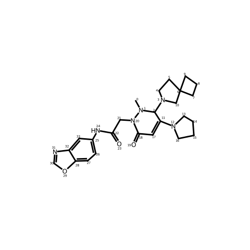 CN1C(N2CCC3(CCC3)C2)C(N2CCCC2)=CC(=O)N1CC(=O)Nc1ccc2ocnc2c1